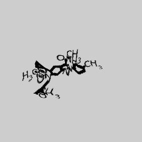 CNC(=O)c1c2cc(C3CC3)c(N(CC3(C)COC3)S(C)(=O)=O)cc2nn1-c1ccc(C)cc1